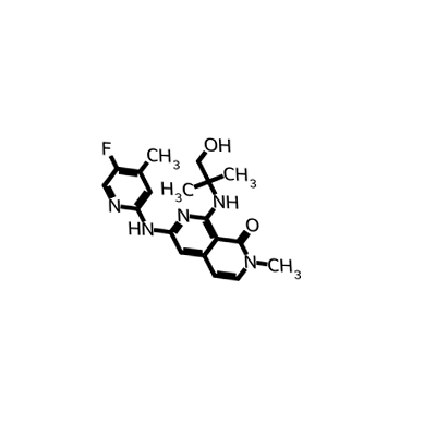 Cc1cc(Nc2cc3ccn(C)c(=O)c3c(NC(C)(C)CO)n2)ncc1F